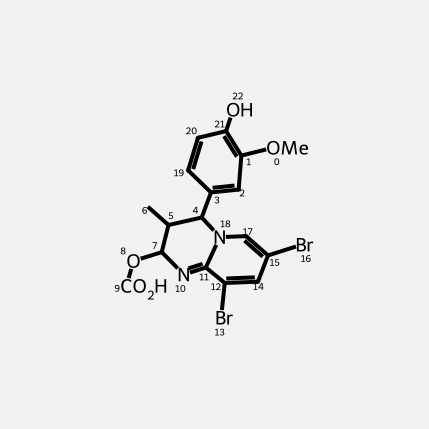 COc1cc(C2C(C)C(OC(=O)O)N=C3C(Br)=CC(Br)=CN32)ccc1O